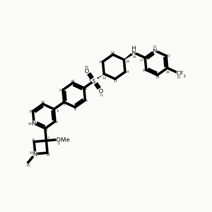 COC1(c2cc(-c3ccc(S(=O)(=O)[C@H]4CC[C@H](Nc5ccc(C(F)(F)F)cn5)CC4)cc3)ccn2)CN(C)C1